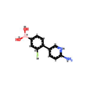 Nc1ccc(-c2ccc(B(O)O)cc2F)cn1